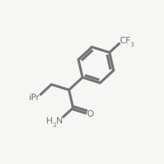 CC(C)CC(C(N)=O)c1ccc(C(F)(F)F)cc1